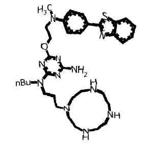 CCCCN(CCCN1CCNCCNCCNCC1)c1nc(N)nc(OCCN(C)c2ccc(-c3nc4ccccc4s3)cc2)n1